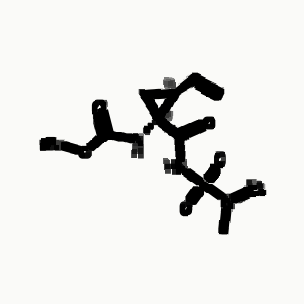 C=C[C@@H]1C[C@]1(NC(=O)OC(C)(C)C)C(=O)NS(=O)(=O)N(C)CC